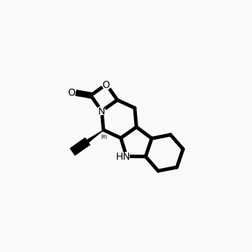 C#C[C@@H]1C2NC3CCCCC3C2CC2OC(=O)N21